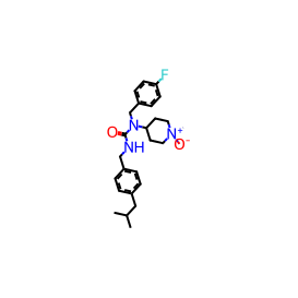 CC(C)Cc1ccc(CNC(=O)N(Cc2ccc(F)cc2)C2CC[N+](C)([O-])CC2)cc1